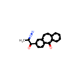 CC(=[N+]=[N-])C(=O)c1ccc2c(=O)c3ccccc3ccc2c1